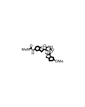 CNC(=O)Nc1ccc2oc([C@]3(CN4Cc5ccc(OC)cc5C4=O)NC(=O)NC3=O)cc2c1